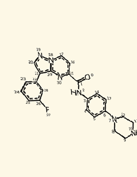 O=C(Nc1ccc(N2CCNCC2)cc1)c1ccn2ncc(-c3cccc(F)c3)c2n1